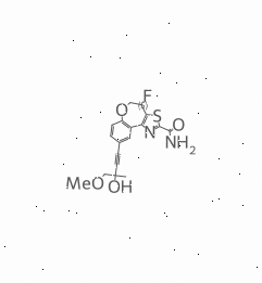 COCC(C)(O)C#Cc1ccc2c(c1)-c1nc(C(N)=O)sc1[C@@H](F)CO2